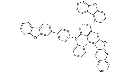 c1ccc(N(c2ccc(-c3ccc4c(c3)oc3ccccc34)cc2)c2ccc(-c3cccc4oc5ccccc5c34)cc2)c(-c2cccc3oc4cc5ccccc5cc4c23)c1